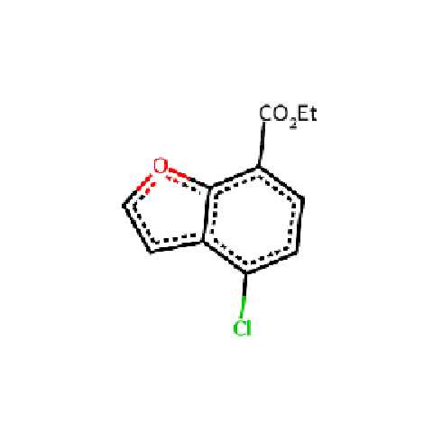 CCOC(=O)c1ccc(Cl)c2ccoc12